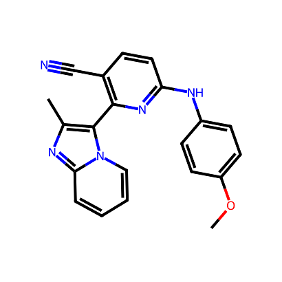 COc1ccc(Nc2ccc(C#N)c(-c3c(C)nc4ccccn34)n2)cc1